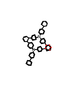 C1=CCC(c2ccc(N(c3ccc(-c4ccccc4)cc3)c3ccc(C4C=CC=CC4c4ccc(N(c5ccc(-c6ccccc6)cc5)c5ccc(-c6ccccc6)cc5)cc4)cc3)cc2)C=C1